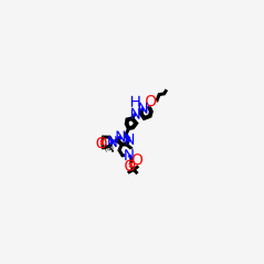 CCCCOc1cccc(Nc2ccc(-c3nc4c(c(N5CCOC[C@@H]5C)n3)CCN(C(=O)OC(C)(C)C)C4)cc2)n1